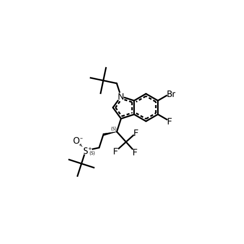 CC(C)(C)Cn1cc([C@H](CC[S@@+]([O-])C(C)(C)C)C(F)(F)F)c2cc(F)c(Br)cc21